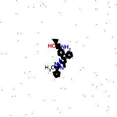 Cc1nn2c(ncc3cc(-c4ccccc4)c(-c4ccc([C@]5(N)C[C@@](O)(C6CC6)C5)cc4)nc32)c1-c1ccccc1